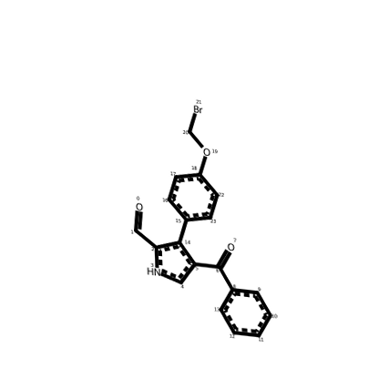 O=Cc1[nH]cc(C(=O)c2ccccc2)c1-c1ccc(OCBr)cc1